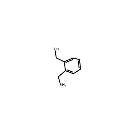 OCc1ccccc1C[SiH3]